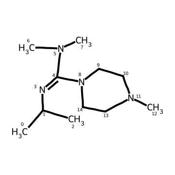 CC(C)/N=C(/N(C)C)N1CCN(C)CC1